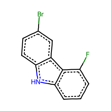 Fc1cccc2[nH]c3ccc(Br)cc3c12